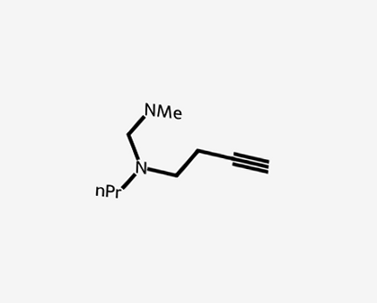 C#CCCN(CCC)CNC